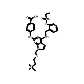 CCS(=O)(=O)Nc1ccccc1CNc1nc(Nc2ccc(C(=O)O)cc2)nc2c1ccn2COCC[Si](C)(C)C